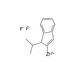 CC(C)C1[C]([Zr+2])=Cc2ccccc21.[F-].[F-]